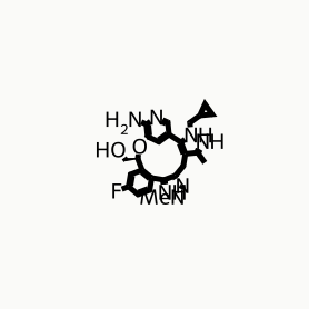 CN/N=C1/C/C(C(C)=N)=C(/NCC2CC2)c2cnc(N)c(c2)O[C@H](CO)c2cc(F)ccc2C1=N